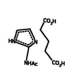 CC(=O)Nc1ncc[nH]1.O=C(O)CCCC(=O)O